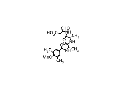 COc1c(C)cc(C(=O)N[C@@H](C)C(=O)N[C@@H](C)C(=O)N[C@H](C=O)CC(=O)O)cc1C